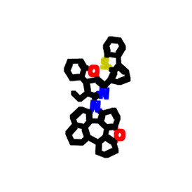 CCc1c(-n2c3ccc4cccc5c4c3c3c4c(ccc32)oc2cccc-5c24)nc(-c2cccc3c2sc2ccccc23)c2oc3ccccc3c12